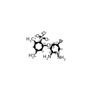 Cc1cc(C)c(S(=O)(=O)[O-])c(C)c1.Nc1ccc(Br)c[n+]1N